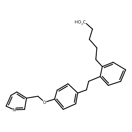 O=C(O)CCCCc1ccccc1CCc1ccc(OCc2cccnc2)cc1